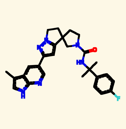 Cc1c[nH]c2ncc(-c3cc4n(n3)CCC43CCN(C(=O)NC(C)(C)c4ccc(F)cc4)C3)cc12